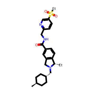 CC[C@H]1c2ccc(C(=O)NCc3ccc(S(=O)(=O)CC)cn3)cc2CN1C[C@H]1CC[C@H](C)CC1